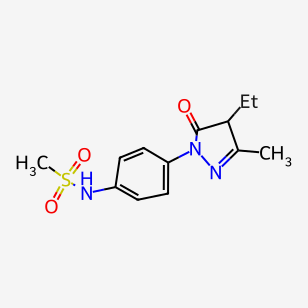 CCC1C(=O)N(c2ccc(NS(C)(=O)=O)cc2)N=C1C